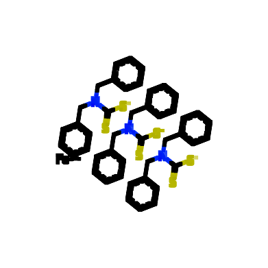 S=C([S-])N(Cc1ccccc1)Cc1ccccc1.S=C([S-])N(Cc1ccccc1)Cc1ccccc1.S=C([S-])N(Cc1ccccc1)Cc1ccccc1.[Fe+3]